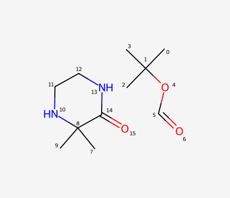 CC(C)(C)OC=O.CC1(C)NCCNC1=O